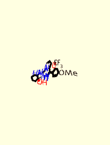 COc1ccc(-c2nnc(NC3CCCC[C@@]3(C)O)n3cccc23)c(OC(F)(F)F)c1